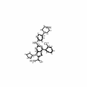 NC(=O)c1cc2c(-c3ccccc3Cl)nc(Nc3ccc(N4CCNCC4)cn3)nc2n1C1CCCC1